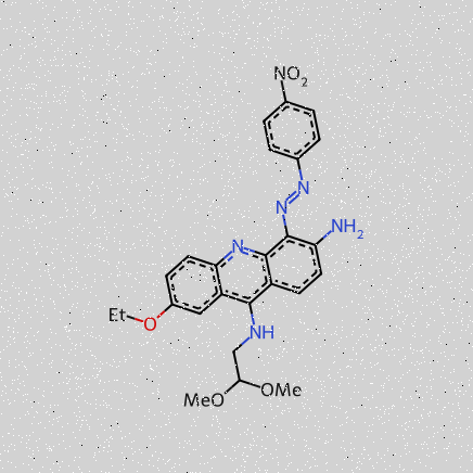 CCOc1ccc2nc3c(/N=N/c4ccc([N+](=O)[O-])cc4)c(N)ccc3c(NCC(OC)OC)c2c1